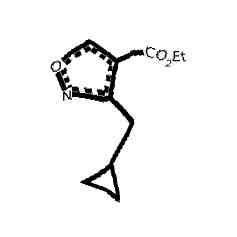 CCOC(=O)c1conc1CC1CC1